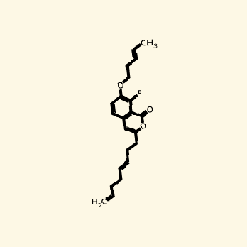 C=CCC/C=C/CCc1cc2ccc(OCC/C=C/C)c(F)c2c(=O)o1